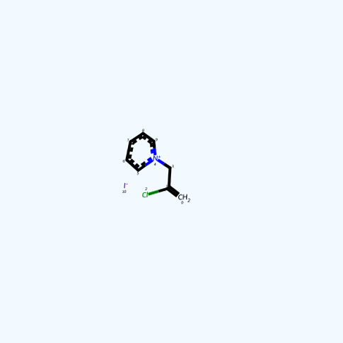 C=C(Cl)C[n+]1ccccc1.[I-]